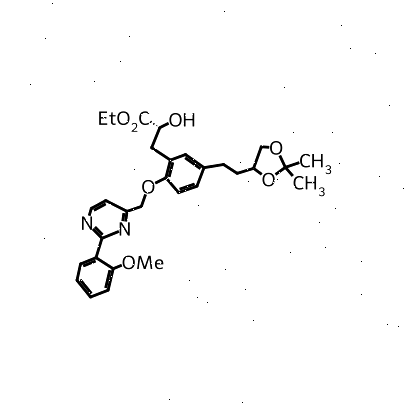 CCOC(=O)[C@H](O)Cc1cc(CCC2COC(C)(C)O2)ccc1OCc1ccnc(-c2ccccc2OC)n1